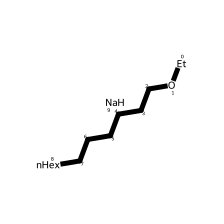 [CH2]COCCCCCCCCCCCC.[NaH]